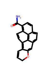 NC(=O)c1ccc2ccc3cc4c(c5ccc1c2c35)C=CCO4